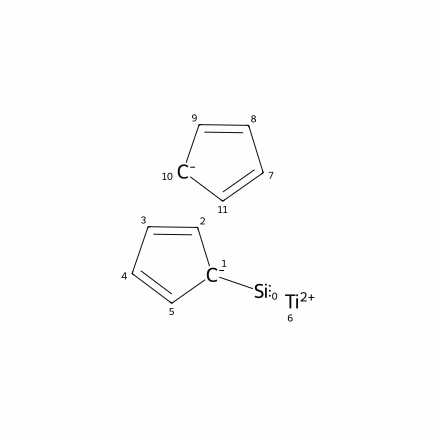 [Si][c-]1cccc1.[Ti+2].c1cc[cH-]c1